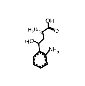 Nc1ccccc1C(O)C[C@H](N)C(=O)O